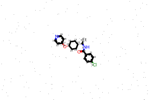 CCC(NC(=O)c1ccc(Cl)cc1)[C@H]1CC[C@@H](Oc2ccncc2)CC1